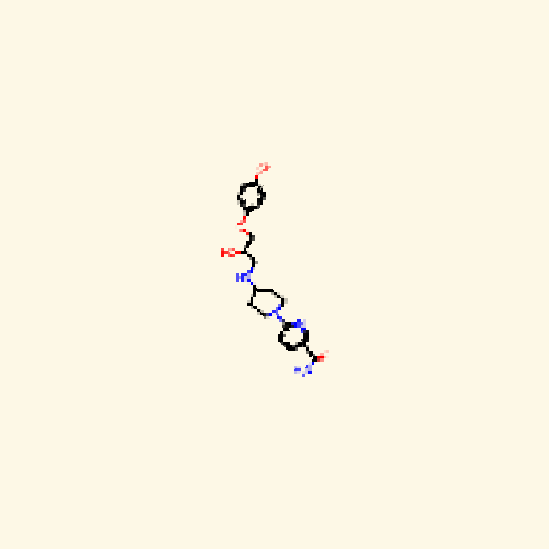 NC(=O)c1ccc(N2CCC(NCC(O)COc3ccc(O)cc3)CC2)nc1